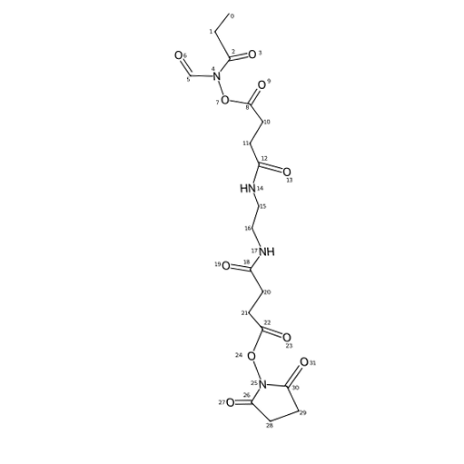 CCC(=O)N(C=O)OC(=O)CCC(=O)NCCNC(=O)CCC(=O)ON1C(=O)CCC1=O